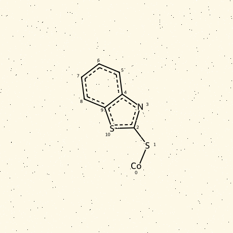 [Co][S]c1nc2ccccc2s1